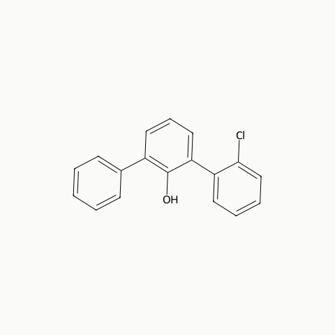 Oc1c(-c2ccccc2)cccc1-c1ccccc1Cl